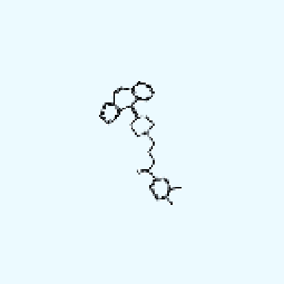 Cc1ccc(C(=O)CCCN2CCC(=C3c4ccccc4C=Cc4ccccc43)CC2)cc1C